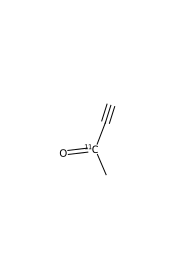 C#C[11C](C)=O